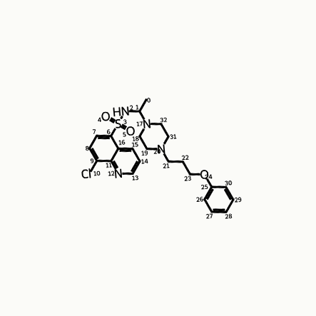 CC(NS(=O)(=O)c1ccc(Cl)c2ncccc12)N1CCN(CCCOc2ccccc2)CC1